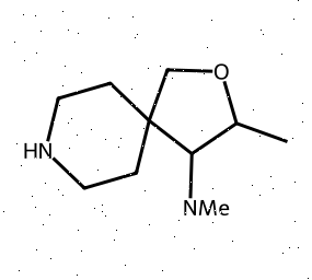 CNC1C(C)OCC12CCNCC2